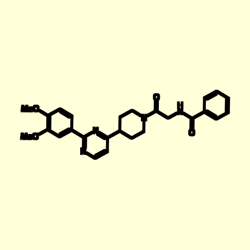 COc1ccc(-c2nccc(C3CCN(C(=O)CNC(=O)c4ccccc4)CC3)n2)cc1OC